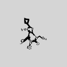 CCC(C)Cn1c(=O)n(CC)c(=S)c2[nH]c(C3CC3)nc21